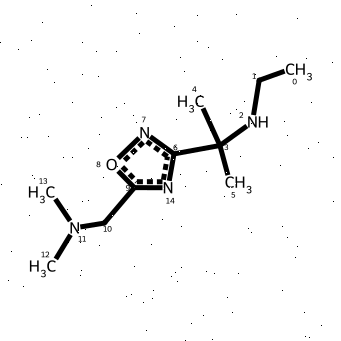 CCNC(C)(C)c1noc(CN(C)C)n1